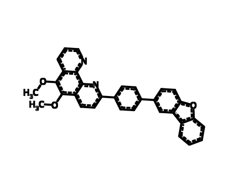 COc1c(OC)c2ccc(-c3ccc(-c4ccc5oc6ccccc6c5c4)cc3)nc2c2ncccc12